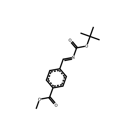 COC(=O)c1ccc(C=NC(=O)OC(C)(C)C)cc1